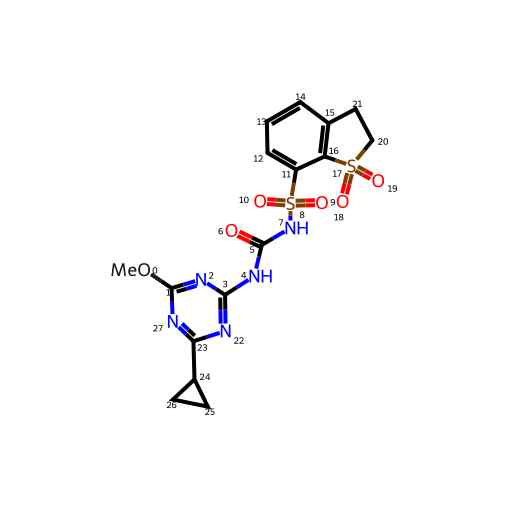 COc1nc(NC(=O)NS(=O)(=O)c2cccc3c2S(=O)(=O)CC3)nc(C2CC2)n1